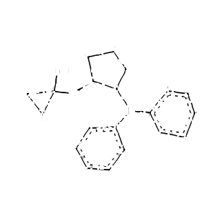 CCCC1(S[C@H]2CCCC2P(c2ccccc2)c2ccccc2)CC1